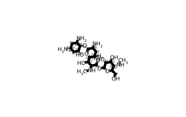 CNC1C(OC2OC(CO)[C@@H](NC)C(O)C2O)O[C@H]2CC(N)[C@@H](O[C@@H]3C(N)C[C@@H](N)C[C@H]3O)OC2C1O